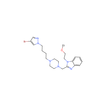 CCOCCn1c(CN2CCN(CCCCn3cc(Br)cn3)CC2)nc2ccccc21